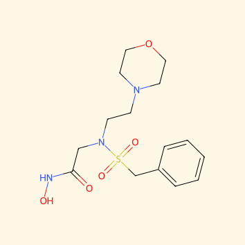 O=C(CN(CCN1CCOCC1)S(=O)(=O)Cc1ccccc1)NO